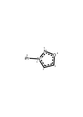 CC(C)[n+]1ccon1